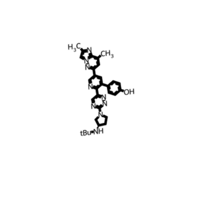 Cc1cn2nc(-c3cnc(-c4cnc(N5CC[C@@H](NC(C)(C)C)C5)nn4)c(-c4ccc(O)cc4)c3)cc(C)c2n1